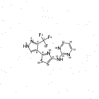 FC(F)(F)c1n[nH]cc1-c1nc(Nc2ncccn2)cs1